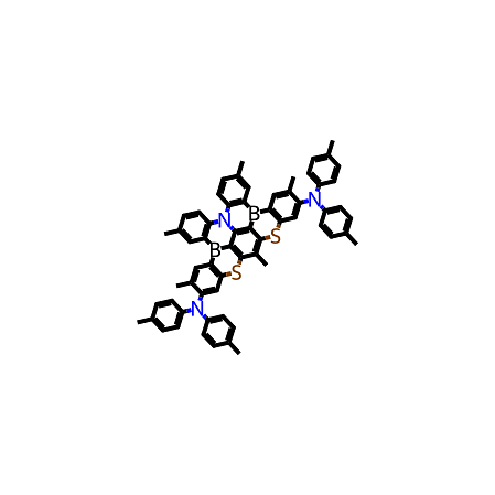 Cc1ccc(N(c2ccc(C)cc2)c2cc3c(cc2C)B2c4cc(C)ccc4N4c5ccc(C)cc5B5c6cc(C)c(N(c7ccc(C)cc7)c7ccc(C)cc7)cc6Sc6c(C)c(c2c4c65)S3)cc1